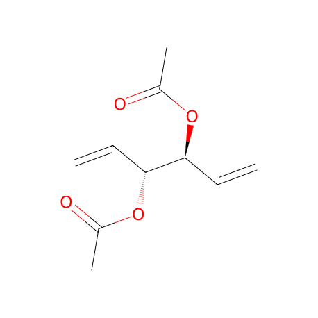 C=C[C@H](OC(C)=O)[C@@H](C=C)OC(C)=O